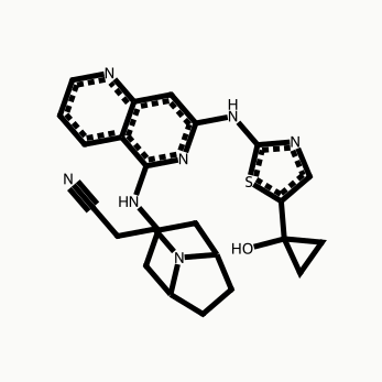 N#CCCN1C2CCC1CC(Nc1nc(Nc3ncc(C4(O)CC4)s3)cc3ncccc13)C2